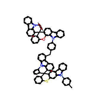 Cc1ccc(-n2c3ccccc3c3cc4c(cc32)Sc2ccccc2C42c3ccccc3-n3c4cccc(Cc5ccc(-n6c7ccccc7c7ccc8c(c76)Oc6ccccc6C86c7ccccc7-n7c8ccccc8c8cccc6c87)cc5)c4c4cccc2c43)cc1